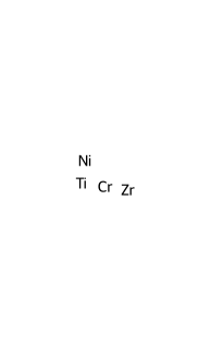 [Cr].[Ni].[Ti].[Zr]